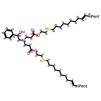 CCCCC/C=C/CCCCCCCCSCCOC(=O)CCN(CCC(=O)OCCSCCCCCCCC/C=C/CCCCC)CC(O)c1ccccc1